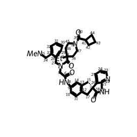 CCC1(C(=O)N(CC(=O)Nc2ccc3c(c2)C[C@@]2(C3)C(=O)Nc3ncccc32)Cc2ccccc2CNC)CCN(C(=O)C2CCC2)CC1